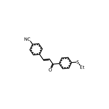 CCSc1ccc(C(=O)C=Cc2ccc(C#N)cc2)cc1